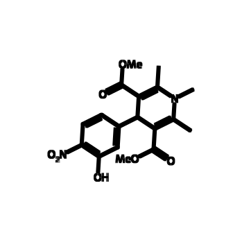 COC(=O)C1=C(C)N(C)C(C)=C(C(=O)OC)C1c1ccc([N+](=O)[O-])c(O)c1